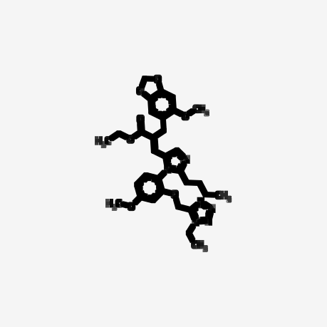 CCCCc1ncc(/C=C(\Cc2cc3c(cc2OC)OCO3)C(=O)OCC)n1-c1ccc(OC)cc1OCc1nnnn1CC